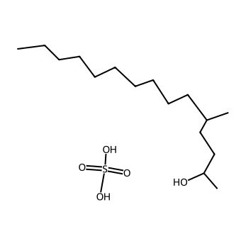 CCCCCCCCCCC(C)CCC(C)O.O=S(=O)(O)O